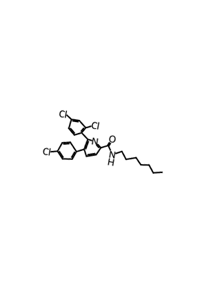 CCCCCCCNC(=O)c1ccc(-c2ccc(Cl)cc2)c(-c2ccc(Cl)cc2Cl)n1